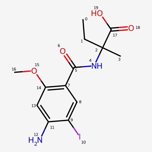 CCC(C)(NC(=O)c1cc(I)c(N)cc1OC)C(=O)O